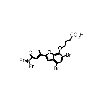 CCN(CC)C(=O)C=C(C)c1cc2c(Br)cc(Br)c(OCCCC(=O)O)c2o1